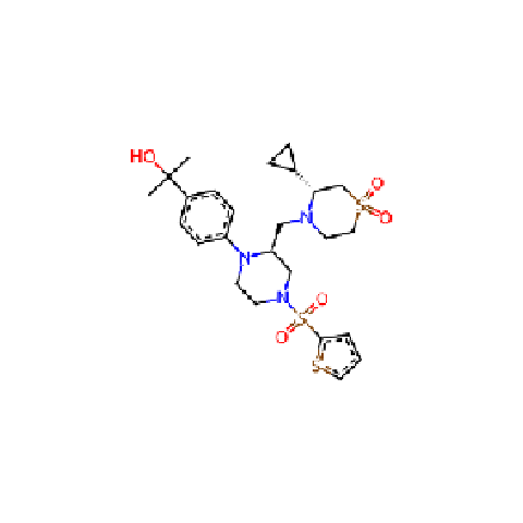 CC(C)(O)c1ccc(N2CCN(S(=O)(=O)c3cccs3)C[C@@H]2CN2CCS(=O)(=O)C[C@H]2C2CC2)cc1